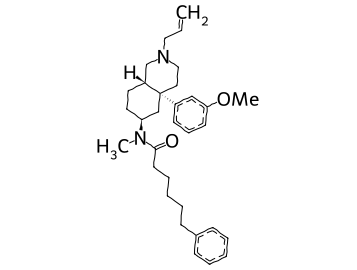 C=CCN1CC[C@@]2(c3cccc(OC)c3)C[C@@H](N(C)C(=O)CCCCCc3ccccc3)CC[C@@H]2C1